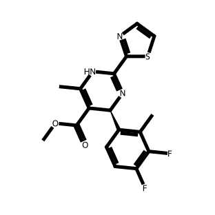 COC(=O)C1=C(C)NC(c2nccs2)=N[C@H]1c1ccc(F)c(F)c1C